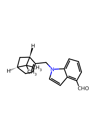 CC1(C)[C@H]2CC=C(Cn3ccc4c(C=O)cccc43)[C@H]1C2